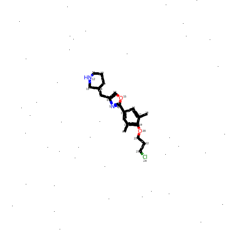 Cc1cc(-c2nc(CC3CCCNC3)co2)cc(C)c1OCCCCl